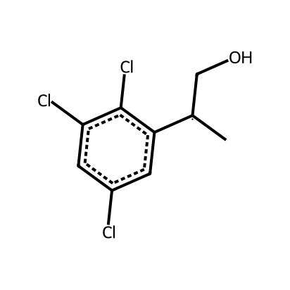 C[C](CO)c1cc(Cl)cc(Cl)c1Cl